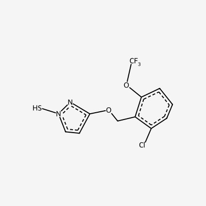 FC(F)(F)Oc1cccc(Cl)c1COc1ccn(S)n1